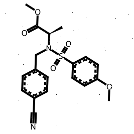 COC(=O)[C@@H](C)N(Cc1ccc(C#N)cc1)S(=O)(=O)c1ccc(OC)cc1